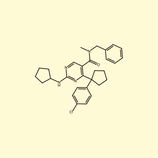 CN(Cc1ccccc1)C(=O)c1cnc(NC2CCCC2)nc1C1(c2ccc(Cl)cc2)CCCC1